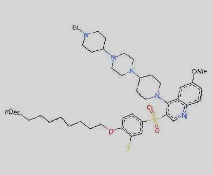 CCCCCCCCCCCCCCCCCCOc1ccc(S(=O)(=O)c2cnc3ccc(OC)cc3c2N2CCC(N3CCN(C4CCN(CC)CC4)CC3)CC2)cc1F